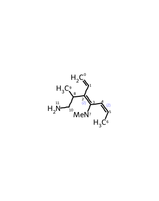 C=C/C(=C(\C=C/C)NC)C(C)CN